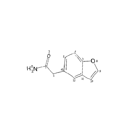 NC(=O)Cc1ccc2occc2c1